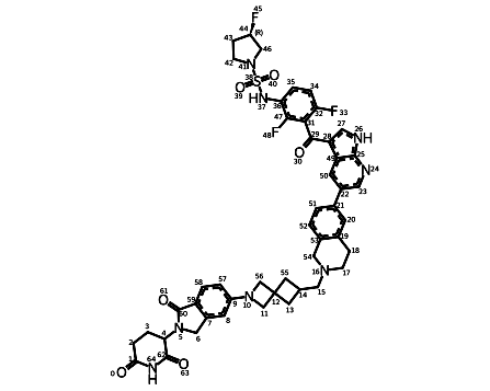 O=C1CCC(N2Cc3cc(N4CC5(CC(CN6CCc7cc(-c8cnc9[nH]cc(C(=O)c%10c(F)ccc(NS(=O)(=O)N%11CC[C@@H](F)C%11)c%10F)c9c8)ccc7C6)C5)C4)ccc3C2=O)C(=O)N1